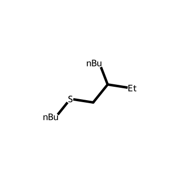 [CH2]CCCSCC(CC)CCCC